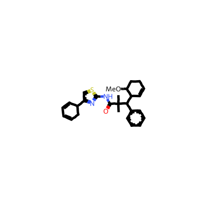 COC1CCC=CC1C(c1ccccc1)C(C)(C)C(=O)Nc1nc(C2C=CC=CC2)cs1